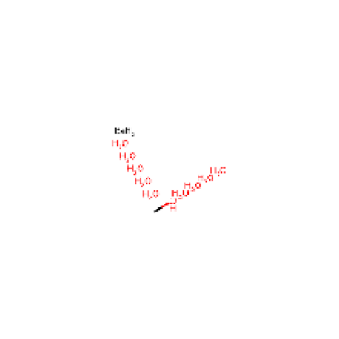 CO.O.O.O.O.O.O.O.O.O.[BaH2]